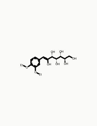 CCOc1ccc(C=C(O)[C@H](O)[C@@H](O)[C@H](O)[C@H](O)CO)cc1OCC